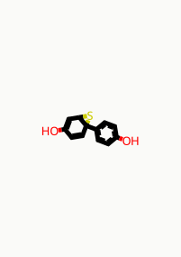 OC1=CC2SC2(c2ccc(O)cc2)C=C1